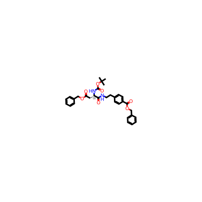 CC(C)(C)OC(=O)N[C@@H](CC(=O)OCc1ccccc1)C(=O)NCCc1ccc(C(=O)OCc2ccccc2)cc1